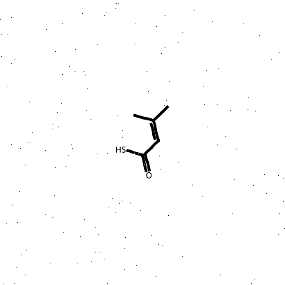 CC(C)=CC(=O)S